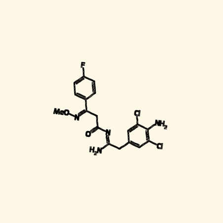 CON=C(CC(=O)N=C(N)Cc1cc(Cl)c(N)c(Cl)c1)c1ccc(F)cc1